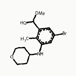 COC(O)c1cc(Br)cc(NC2CCOCC2)c1C